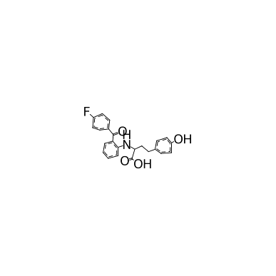 O=C(c1ccc(F)cc1)c1ccccc1NC(CCc1ccc(O)cc1)C(=O)O